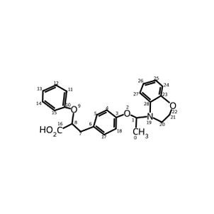 CC(Oc1ccc(CC(Oc2ccccc2)C(=O)O)cc1)N1CCOc2ccccc21